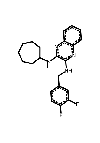 Fc1ccc(CNc2nc3ccccc3nc2NC2CCCCCC2)cc1F